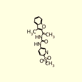 Cc1c([C@@H](C)NC(=O)Nc2ccc(S(C)(=O)=O)nc2)oc2ccccc12